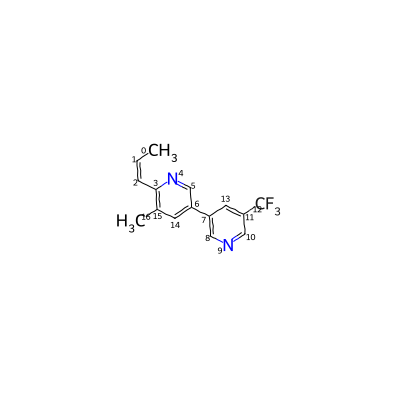 C/C=C\c1ncc(-c2cncc(C(F)(F)F)c2)cc1C